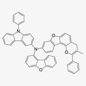 CC1=C(c2ccccc2)Oc2c(ccc3oc4cc(N(c5ccc6c(c5)c5ccccc5n6-c5ccccc5)c5cccc6oc7ccccc7c56)ccc4c23)C1